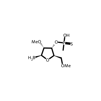 B[C@@H]1O[C@H](COC)[C@@H](OP(C)(O)=S)[C@H]1OC